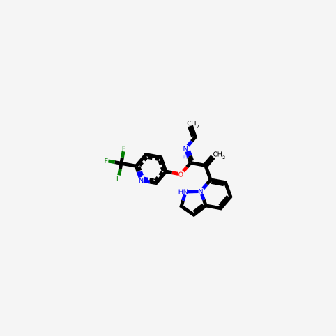 C=C/N=C(/Oc1ccc(C(F)(F)F)nc1)C(=C)C1=CC=CC2=CCNN21